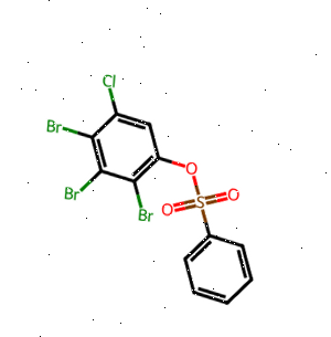 O=S(=O)(Oc1cc(Cl)c(Br)c(Br)c1Br)c1ccccc1